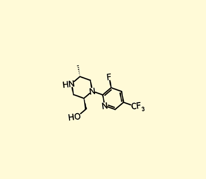 C[C@@H]1CN(c2ncc(C(F)(F)F)cc2F)[C@@H](CO)CN1